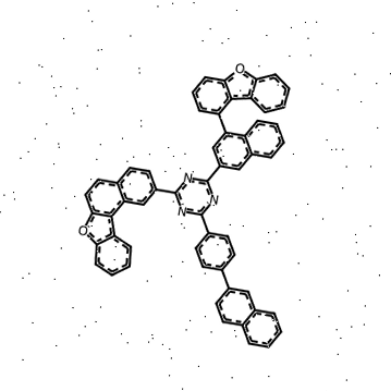 c1ccc2cc(-c3ccc(-c4nc(-c5cc(-c6cccc7oc8ccccc8c67)c6ccccc6c5)nc(-c5ccc6ccc7oc8ccccc8c7c6c5)n4)cc3)ccc2c1